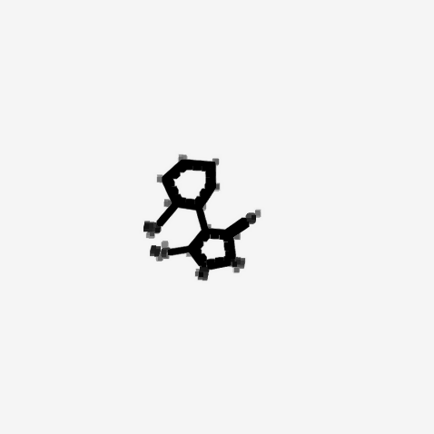 Cc1[nH][nH]c(=O)c1-c1ccccc1O